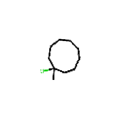 CC1(Cl)CCCCCCCC1